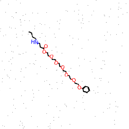 CCCCNCCC(=O)OCCOCCOCCOCCOCCOCCOc1ccccc1